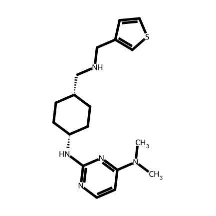 CN(C)c1ccnc(N[C@H]2CC[C@@H](CNCc3ccsc3)CC2)n1